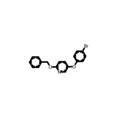 Brc1ccc(Oc2ccc(OCc3ccccc3)nc2)cc1